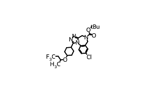 CC(CC(F)(F)F)OC1CCC(c2nnc3n2-c2ccc(Cl)cc2CN(C(=O)OC(C)(C)C)C3)CC1